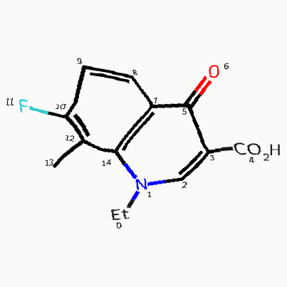 CCn1cc(C(=O)O)c(=O)c2ccc(F)c(C)c21